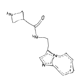 O=C(NCc1cnc2ccccn12)C1CNC1